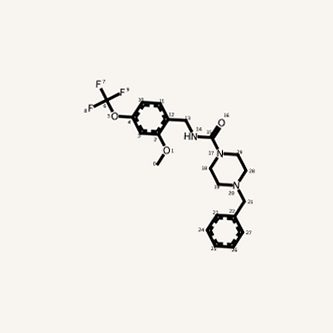 COc1cc(OC(F)(F)F)ccc1CNC(=O)N1CCN(Cc2ccccc2)CC1